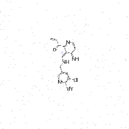 C=CC(=O)C1=NC=CC(=N)/C1=C\NCc1cnc(CCC)c(Cl)c1